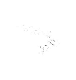 CCOC(=O)Cc1ccc(SCC(=O)NC[C@H]2CN(Cc3ccc(Cl)c(Cl)c3)CCO2)cc1